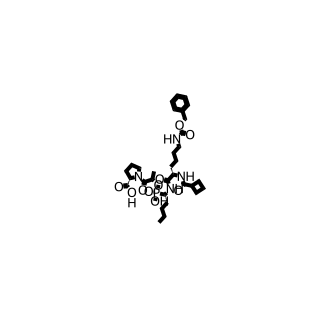 CCCC[C@@H](NC(=O)[C@H](CCCCNC(=O)OCc1ccccc1)NC(=O)C1CCC1)P(=O)(O)OC(C)C(=O)N1CCC[C@H]1C(=O)O